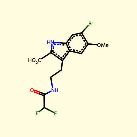 COc1cc2c(CCNC(=O)C(F)F)c(C(=O)O)[nH]c2cc1Br